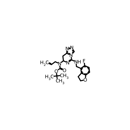 C=CCN(C(=O)OC(C)(C)C)C1Cc2nncn2C(NCc2c(F)ccc3c2CCO3)=N1